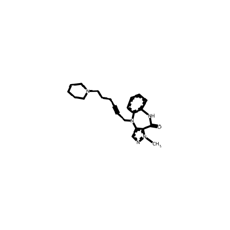 Cn1ncc2c1C(=O)Nc1ccccc1N2CC#CCCCN1CCCCC1